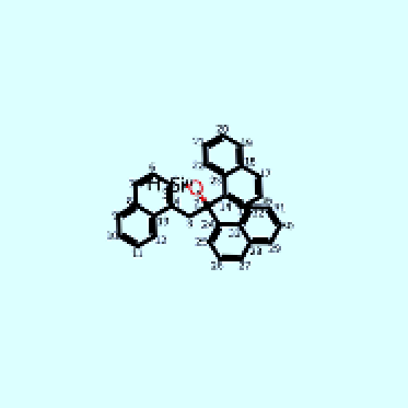 [SiH3]OC(Cc1cccc2ccccc12)(c1cccc2ccccc12)c1cccc2ccccc12